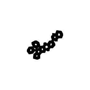 c1ccc(C2(c3ccccc3)c3ccccc3-c3cc4c(cc32)Oc2cc(-c3cnc5ccccc5n3)ccc2O4)cc1